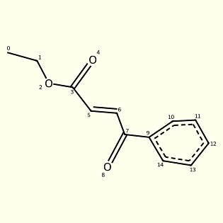 CCOC(=O)C=CC(=O)c1ccccc1